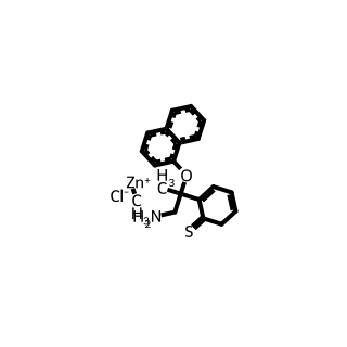 CC(CN)(Oc1cccc2ccccc12)C1=CC=CCC1=S.[CH3][Zn+].[Cl-]